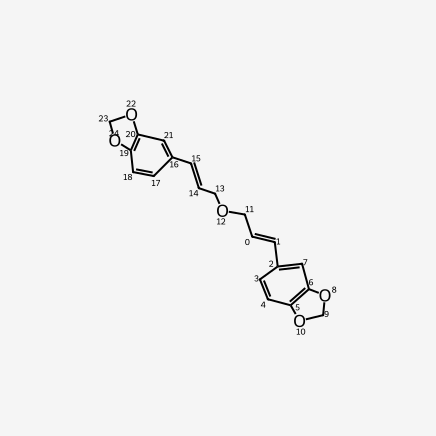 C(=C\c1ccc2c(c1)OCO2)/COC/C=C/c1ccc2c(c1)OCO2